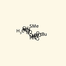 CSCCNC(=O)N(CCN(C)C)Cc1ccc(C(=O)Nc2ccccc2NC(=O)OC(C)(C)C)nc1